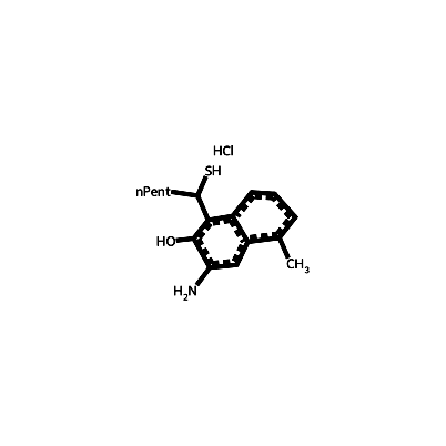 CCCCCC(S)c1c(O)c(N)cc2c(C)cccc12.Cl